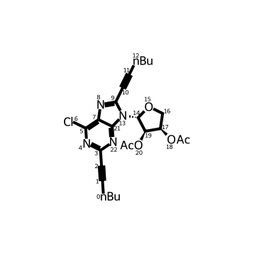 CCCCC#Cc1nc(Cl)c2nc(C#CCCCC)n([C@@H]3OC[C@@H](OC(C)=O)[C@H]3OC(C)=O)c2n1